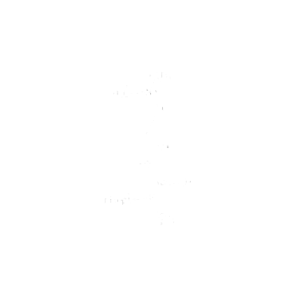 C=C(CCCCCCC)C(=O)OOCCN(C)C